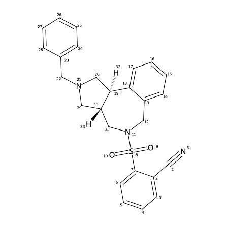 N#Cc1ccccc1S(=O)(=O)N1Cc2ccccc2[C@@H]2CN(Cc3ccccc3)C[C@H]2C1